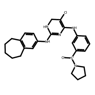 [O-][S+](c1cccc(NC2=C(Cl)CNC(Nc3ccc4c(c3)CCCCC4)=N2)c1)N1CCCC1